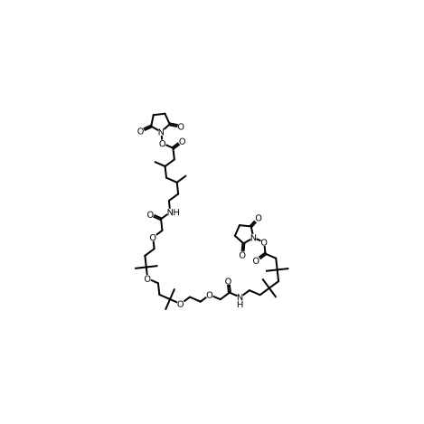 CC(CCNC(=O)COCCC(C)(C)OCCC(C)(C)OCCOCC(=O)NCCC(C)(C)CC(C)(C)CC(=O)ON1C(=O)CCC1=O)CC(C)CC(=O)ON1C(=O)CCC1=O